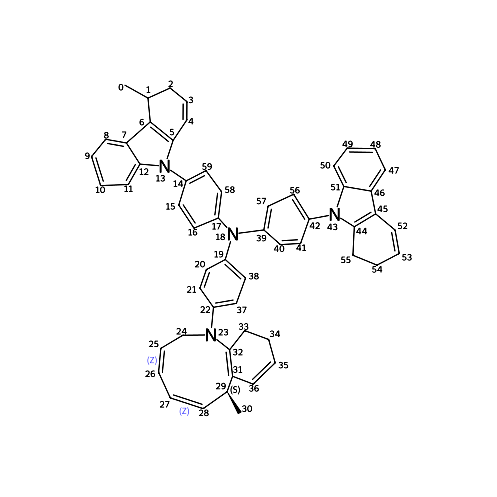 CC1CC=Cc2c1c1ccccc1n2-c1ccc(N(c2ccc(N3C/C=C\C=C/[C@H](C)C4=C3CCC=C4)cc2)c2ccc(-n3c4c(c5ccccc53)C=CCC4)cc2)cc1